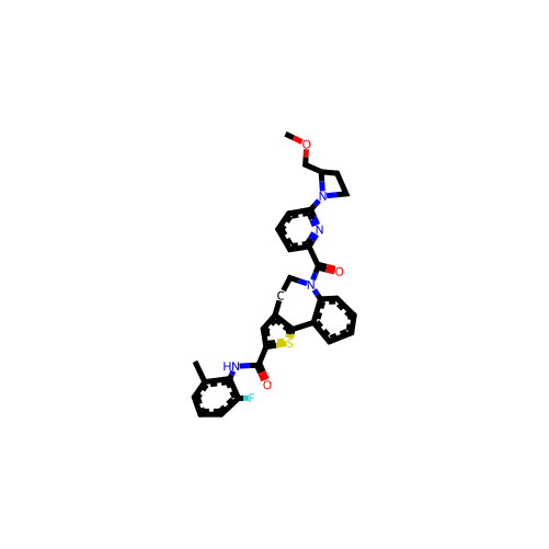 COCC1CCN1c1cccc(C(=O)N2CCc3cc(C(=O)Nc4c(C)cccc4F)sc3-c3ccccc32)n1